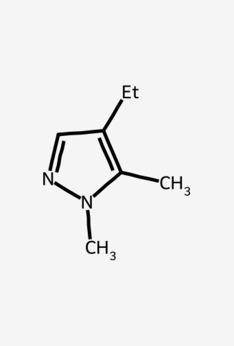 CCc1cnn(C)c1C